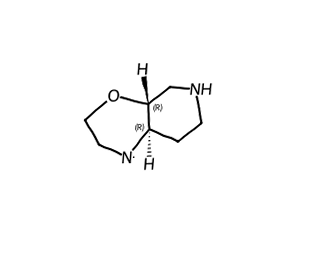 C1CO[C@@H]2CNCC[C@H]2[N]1